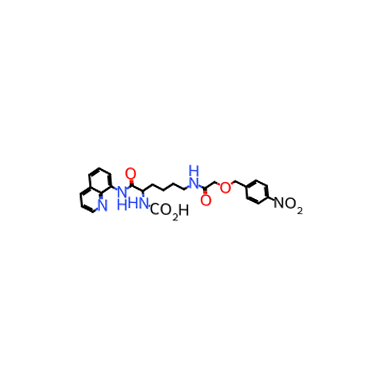 O=C(O)NC(CCCCNC(=O)COCc1ccc([N+](=O)[O-])cc1)C(=O)Nc1cccc2cccnc12